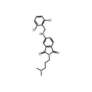 CN(C)CCCN1C(=O)c2ccc(NCc3c(Cl)cccc3Cl)cc2C1=O